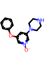 [O-][n+]1cc(Oc2ccccc2)cc(N2CCNCC2)c1